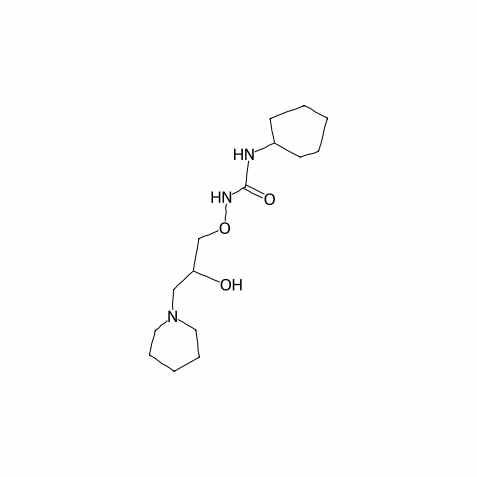 O=C(NOCC(O)CN1CCCCC1)NC1CCCCC1